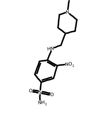 CN1CCC(CNc2ccc(S(N)(=O)=O)cc2[N+](=O)[O-])CC1